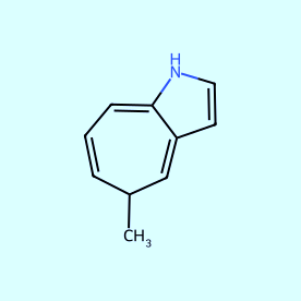 CC1C=CC=c2[nH]ccc2=C1